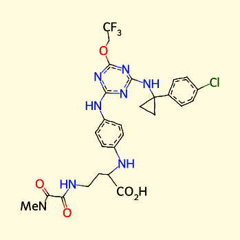 CNC(=O)C(=O)NCCC(Nc1ccc(Nc2nc(NC3(c4ccc(Cl)cc4)CC3)nc(OCC(F)(F)F)n2)cc1)C(=O)O